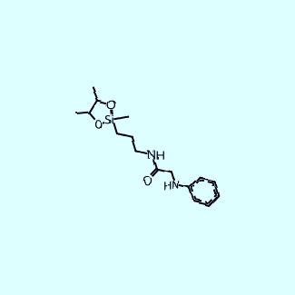 CC1O[Si](C)(CCCNC(=O)CNc2ccccc2)OC1C